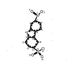 O=[N+]([O-])c1ccc2c(c1)sc1ccc(S(=O)(=O)Cl)cc12